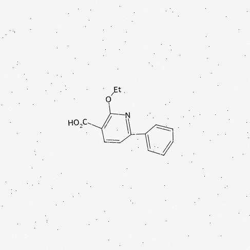 CCOc1nc(-c2ccccc2)ccc1C(=O)O